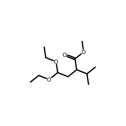 CCOC(CC(C(=O)OC)C(C)C)OCC